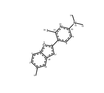 Cc1ccc2oc(-c3ccc(N(C)C)nc3I)cc2c1